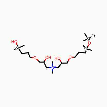 CC[Si](C)(C)O[Si](C)(C)CCCOCC(O)C[N+](C)(C)CC(O)COCCC[Si](C)(C)O